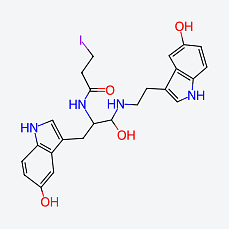 O=C(CCI)NC(Cc1c[nH]c2ccc(O)cc12)C(O)NCCc1c[nH]c2ccc(O)cc12